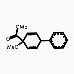 COC(=O)C1(OC)C=CC(c2ccccc2)C=C1